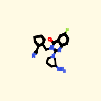 N#Cc1ccccc1Cn1c(N2CCCC(N)C2)nc2ccc(F)cc2c1=O